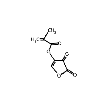 C=C(C)C(=O)OC1=COC(=O)C1=O